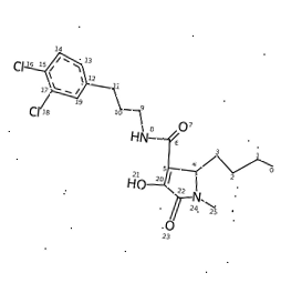 CCCCC1C(C(=O)NCCCc2ccc(Cl)c(Cl)c2)=C(O)C(=O)N1C